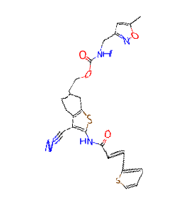 Cc1cc(CNC(=O)OCC2CCc3c(sc(NC(=O)C=Cc4cccs4)c3C#N)C2)no1